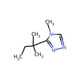 CCC(C)(C)c1nncn1C